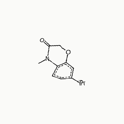 CC(C)c1ccc2c(c1)OCC(=O)N2C